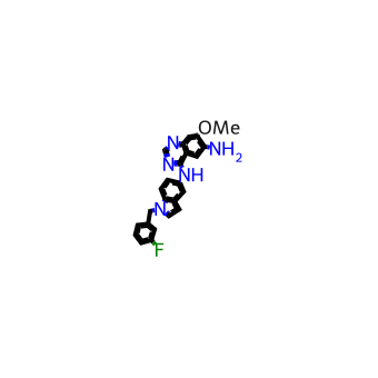 COc1cc2ncnc(Nc3ccc4c(ccn4Cc4cccc(F)c4)c3)c2cc1N